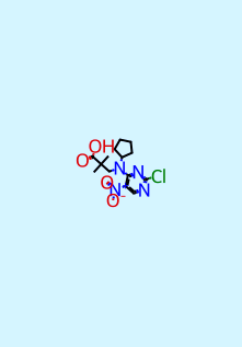 CC(C)(CN(c1nc(Cl)ncc1[N+](=O)[O-])C1CCCC1)C(=O)O